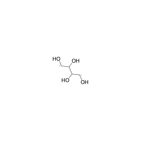 O[CH]C(O)C(O)[CH]O